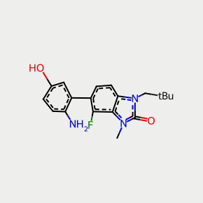 Cn1c(=O)n(CC(C)(C)C)c2ccc(-c3cc(O)ccc3N)c(F)c21